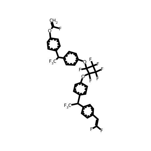 C=C(F)Oc1ccc(C(c2ccc(OC3(F)C(F)(F)C(F)(F)C3(F)Oc3ccc(C(c4ccc(C=C(F)F)cc4)C(F)(F)F)cc3)cc2)C(F)(F)F)cc1